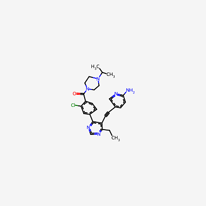 CCc1ncnc(-c2ccc(C(=O)N3CCN(C(C)C)CC3)c(Cl)c2)c1C#Cc1ccc(N)nc1